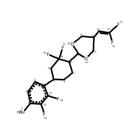 CCCCc1ccc(C2CCC(C3OCC(C=C(F)F)CO3)C(F)(F)C2)c(F)c1F